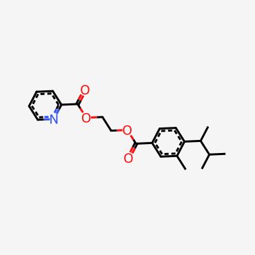 Cc1cc(C(=O)OCCOC(=O)c2ccccn2)ccc1C(C)C(C)C